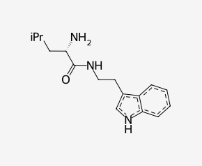 CC(C)C[C@H](N)C(=O)NCCc1c[nH]c2ccccc12